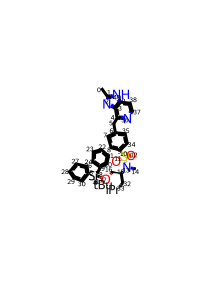 Cc1nc2c(Cc3ccc(S(=O)(=O)N(C)[C@H](CO[Si](c4ccccc4)(c4ccccc4)C(C)(C)C)CC(C)C)cc3)nccc2[nH]1